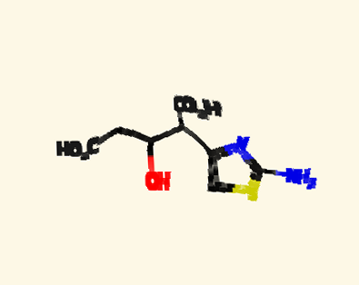 Nc1nc(C(C(=O)O)C(O)CC(=O)O)cs1